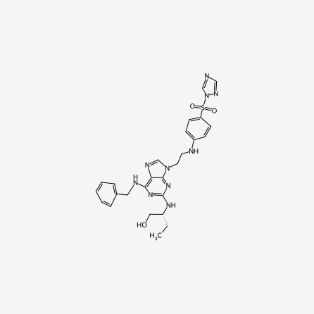 CC[C@H](CO)Nc1nc(NCc2ccccc2)c2ncn(CCNc3ccc(S(=O)(=O)n4cncn4)cc3)c2n1